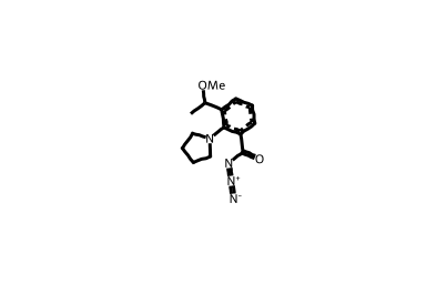 COC(C)c1cccc(C(=O)N=[N+]=[N-])c1N1CCCC1